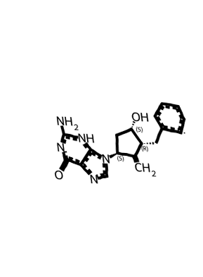 C=C1[C@@H](Cc2[c]cccc2)[C@@H](O)C[C@@H]1n1cnc2c(=O)nc(N)[nH]c21